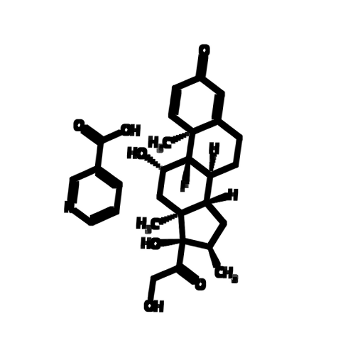 C[C@@H]1C[C@H]2[C@@H]3CCC4=CC(=O)C=C[C@]4(C)[C@@]3(F)[C@@H](O)C[C@]2(C)[C@@]1(O)C(=O)CO.O=C(O)c1cccnc1